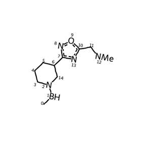 CBN1CCCC(c2noc(CNC)n2)C1